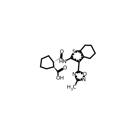 Cc1noc(-c2c(NC(=O)[C@H]3CCCC[C@@H]3C(=O)O)sc3c2CCCC3)n1